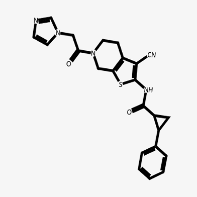 N#Cc1c(NC(=O)C2CC2c2ccccc2)sc2c1CCN(C(=O)Cn1ccnc1)C2